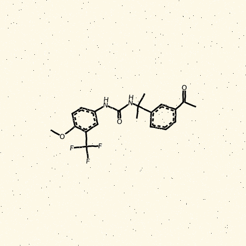 COc1ccc(NC(=O)NC(C)(C)c2cccc(C(C)=O)c2)cc1C(F)(F)F